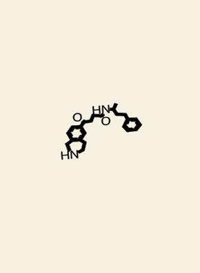 CC(CCc1ccccc1)NC(=O)CCC(=O)c1ccc2c(c1)CCNCC2